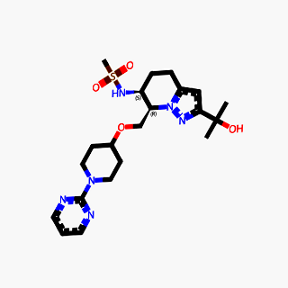 CC(C)(O)c1cc2n(n1)[C@@H](COC1CCN(c3ncccn3)CC1)[C@@H](NS(C)(=O)=O)CC2